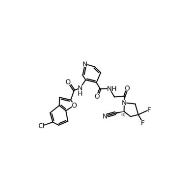 N#C[C@@H]1CC(F)(F)CN1C(=O)CNC(=O)c1ccncc1NC(=O)c1cc2cc(Cl)ccc2o1